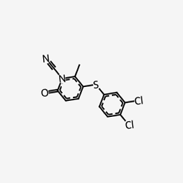 Cc1c(Sc2ccc(Cl)c(Cl)c2)ccc(=O)n1C#N